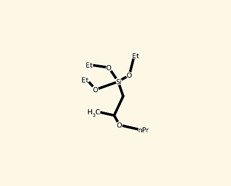 CCCOC(C)C[Si](OCC)(OCC)OCC